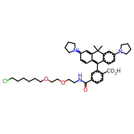 CC1(C)C2=CC(=[N+]3CCCC3)C=CC2=C(c2cc(C(=O)NCCOCCOCCCCCCCl)ccc2C(=O)O)c2ccc(N3CCCC3)cc21